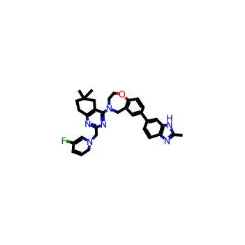 Cc1nc2ccc(-c3ccc4c(c3)CN(c3nc(CN5C=C(F)C=CC5)nc5c3CC(C)(C)CC5)CCO4)cc2[nH]1